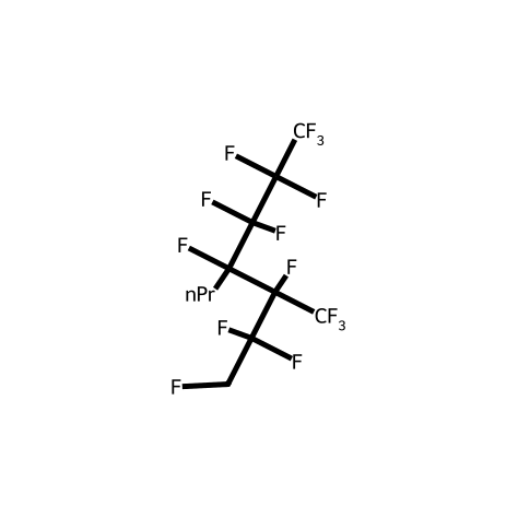 CCCC(F)(C(F)(F)C(F)(F)C(F)(F)F)C(F)(C(F)(F)F)C(F)(F)CF